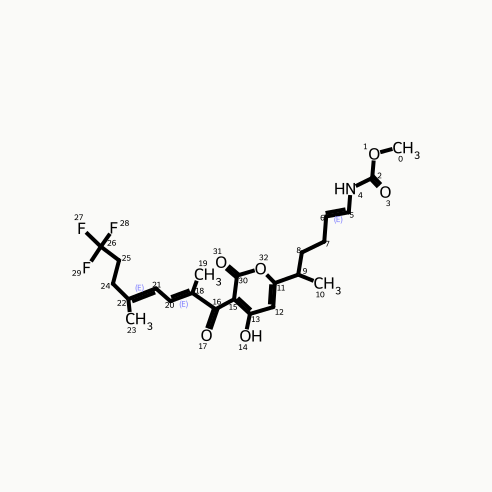 COC(=O)N/C=C/CCC(C)c1cc(O)c(C(=O)/C(C)=C/C=C(\C)CCC(F)(F)F)c(=O)o1